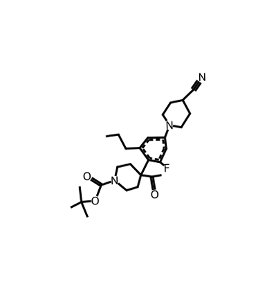 CCCc1cc(N2CCC(C#N)CC2)cc(F)c1C1(C(C)=O)CCN(C(=O)OC(C)(C)C)CC1